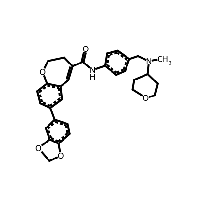 CN(Cc1ccc(NC(=O)C2=Cc3cc(-c4ccc5c(c4)OCO5)ccc3OCC2)cc1)C1CCOCC1